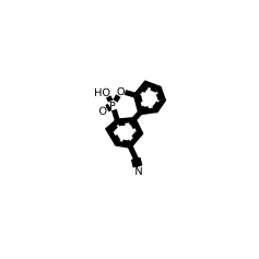 N#Cc1ccc2c(c1)-c1ccccc1OP2(=O)O